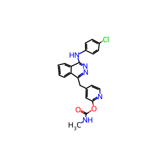 CNC(=O)Oc1cc(Cc2nnc(Nc3ccc(Cl)cc3)c3ccccc23)ccn1